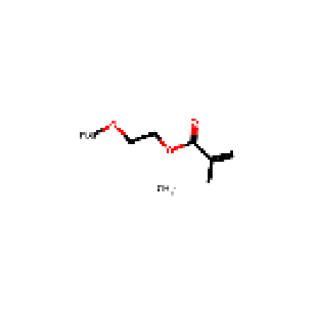 C=C(C)C(=O)OCCOCCCC.[CH3]